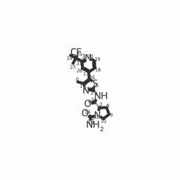 Cc1nc(NC(=O)[C@@H]2CCCN2C(N)=O)sc1-c1ccnc(C(C)(C)C(F)(F)F)c1